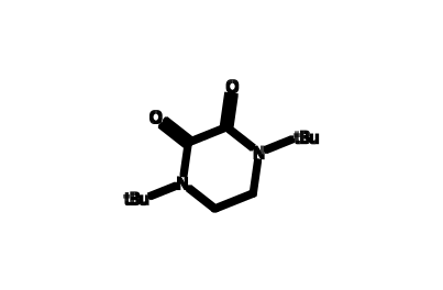 CC(C)(C)N1CCN(C(C)(C)C)C(=O)C1=O